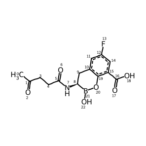 CC(=O)CCC(=O)N[C@H]1Cc2cc(F)cc(C(=O)O)c2OB1O